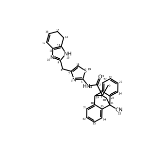 CC1(C(=O)Nc2nc(Cc3nc4c([nH]3)CCC=C4)cs2)CC2(C#N)c3ccccc3C1c1ccccc12